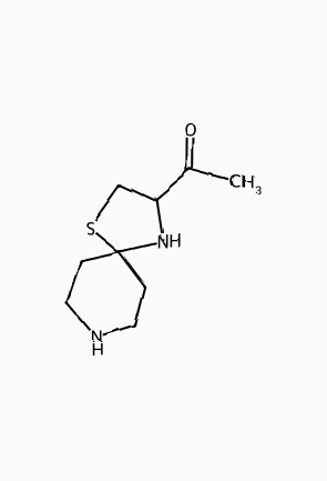 CC(=O)C1CSC2(CCNCC2)N1